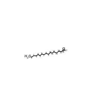 CCCCCCCCCCCCCCC[CH]C1CO1